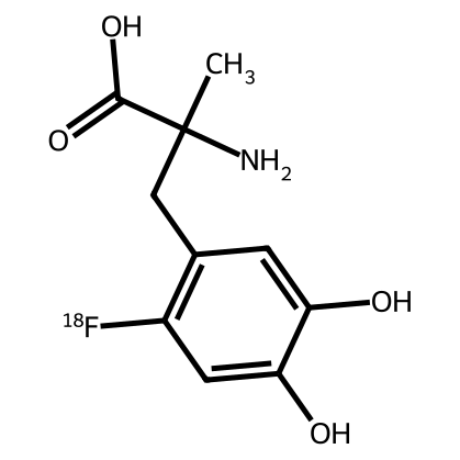 CC(N)(Cc1cc(O)c(O)cc1[18F])C(=O)O